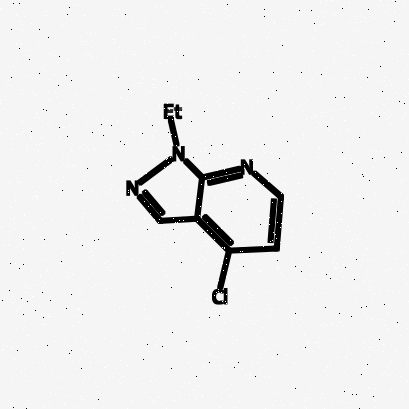 CCn1ncc2c(Cl)ccnc21